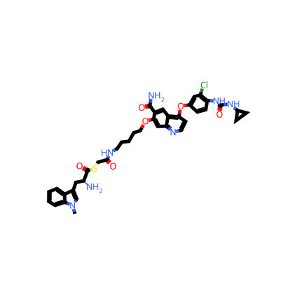 Cn1cc(C[C@@H](N)C(=O)SCC(=O)NCCCCCOc2cc3nccc(Oc4ccc(NC(=O)NC5CC5)c(Cl)c4)c3cc2C(N)=O)c2ccccc21